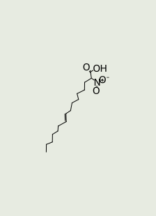 CCCCCCC=CCCCCCCC(C(=O)O)[N+](=O)[O-]